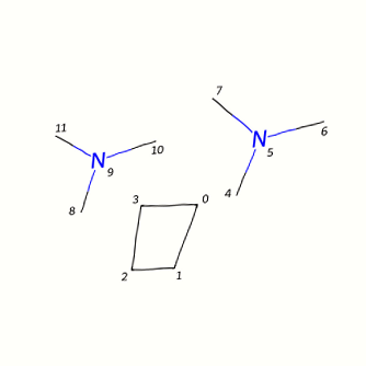 C1CCC1.CN(C)C.CN(C)C